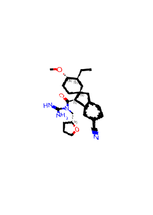 CC[C@H]1C[C@@]2(CC[C@@H]1OC)Cc1ccc(C#N)cc1[C@H]2C(=O)N(C[C@H]1CCCO1)C(=N)N